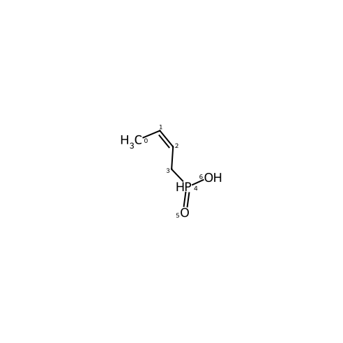 C/C=C\C[PH](=O)O